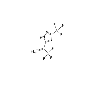 C=C(c1cc(C(F)(F)F)n[nH]1)C(F)(F)F